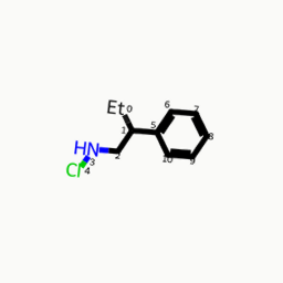 CCC(CNCl)c1ccccc1